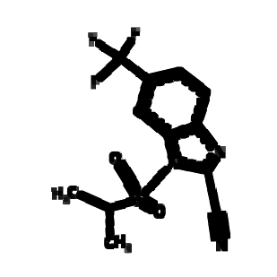 CC(C)S(=O)(=O)n1c(C#N)nc2ccc(C(F)(F)F)cc21